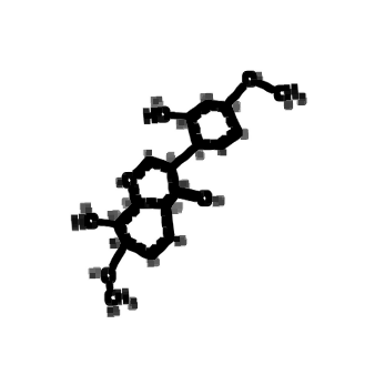 COc1ccc(-c2coc3c(O)c(OC)ccc3c2=O)c(O)c1